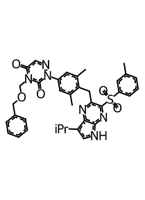 Cc1cccc(S(=O)(=O)c2nc3[nH]cc(C(C)C)c3nc2Cc2c(C)cc(-n3ncc(=O)n(COCc4ccccc4)c3=O)cc2C)c1